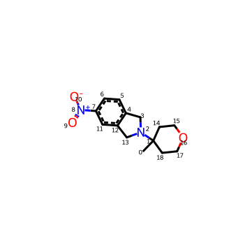 CC1(N2Cc3ccc([N+](=O)[O-])cc3C2)CCOCC1